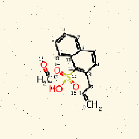 C=CCc1ccc2ccccc2c1S(=O)(=O)O.C=O